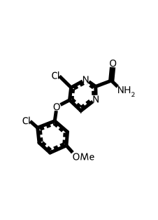 COc1ccc(Cl)c(Oc2[c]nc(C(N)=O)nc2Cl)c1